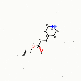 C=CCOC(=O)CCC1CCNCC1